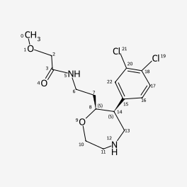 COCC(=O)NCC[C@@H]1OCCNC[C@@H]1c1ccc(Cl)c(Cl)c1